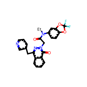 CCN(C(=O)Cn1nc(Cc2cccnc2)c2ccccc2c1=O)c1ccc2c(c1)OC(F)(F)O2